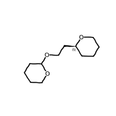 C1CCC(OCC[C@@H]2CCCCO2)OC1